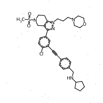 CS(=O)(=O)N1CCc2c(c(-c3ccc(Cl)c(C#Cc4ccc(CNC5CCCC5)cc4)c3)nn2CCCN2CCOCC2)C1